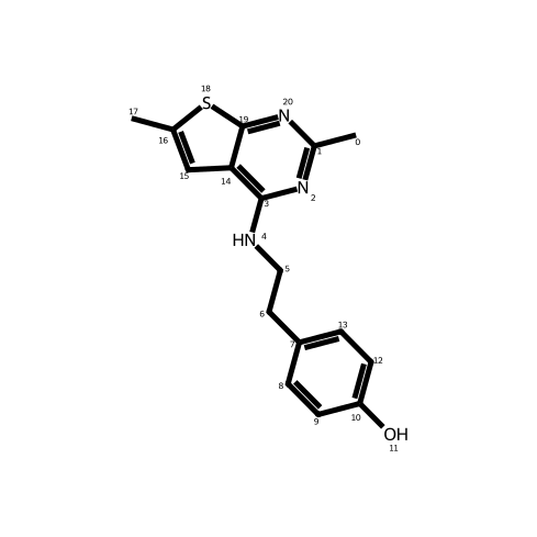 Cc1nc(NCCc2ccc(O)cc2)c2cc(C)sc2n1